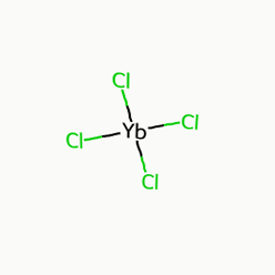 [Cl][Yb]([Cl])([Cl])[Cl]